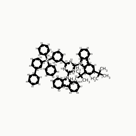 CC(C)(C)c1cc(C(C)(C)C)c2c(c1)c1ccccc1n2-c1nc(-c2cccc([Si](c3ccccc3)(c3ccccc3)c3cccc(-c4ccccc4)c3)c2)nc(-n2c3ccccc3c3ccccc32)n1